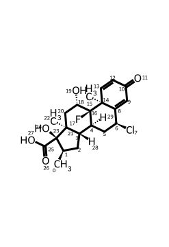 C[C@@H]1C[C@H]2[C@@H]3C[C@H](Cl)C4=CC(=O)C=C[C@]4(C)[C@@]3(F)[C@@H](O)C[C@]2(C)[C@@]1(O)C(=O)O